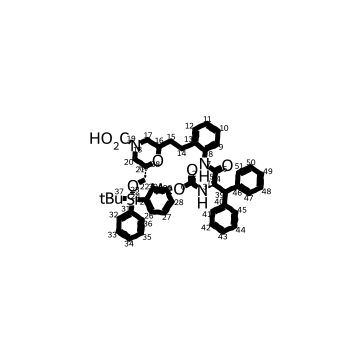 COC(=O)N[C@H](C(=O)Nc1ccccc1CCC1CN(C(=O)O)C[C@@H](CO[Si](c2ccccc2)(c2ccccc2)C(C)(C)C)O1)C(c1ccccc1)c1ccccc1